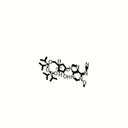 COn1cnc2c(ncn2[C@@H]2C[C@@H]3CO[Si](C(C)C)(C(C)C)O[Si](C(C)C)(C(C)C)O[C@H]3[C@H]2O)/c1=N\C#N